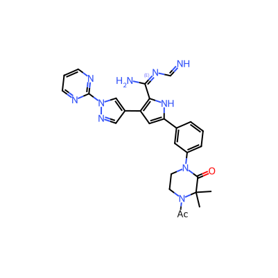 CC(=O)N1CCN(c2cccc(-c3cc(-c4cnn(-c5ncccn5)c4)c(/C(N)=N\C=N)[nH]3)c2)C(=O)C1(C)C